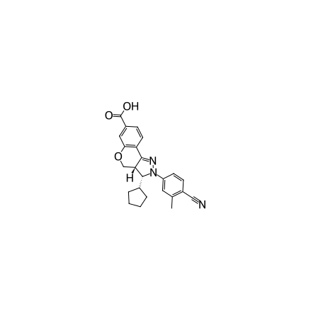 Cc1cc(N2N=C3c4ccc(C(=O)O)cc4OC[C@H]3[C@H]2C2CCCC2)ccc1C#N